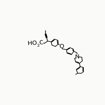 CC#CC(CC(=O)O)C1=CC=C(OCc2ccc(CN3CC=C(C4=CC(C)CC=C4)CC3)cc2)CC1